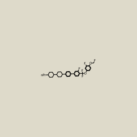 CCCC1CCC(C2CCC(c3ccc(-c4ccc(C(F)(F)Oc5ccc(OCF)c(F)c5)c(F)c4)cc3)CC2)CC1